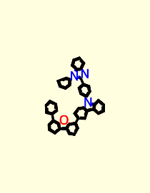 c1ccc(-c2cccc3c2oc2c(-c4ccc5c(c4)c4ccccc4n5-c4ccc(-c5nc6ccccc6n5-c5ccccc5)cc4)cccc23)cc1